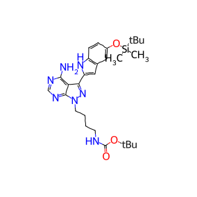 CC(C)(C)OC(=O)NCCCCn1nc(-c2cc3cc(O[Si](C)(C)C(C)(C)C)ccc3[nH]2)c2c(N)ncnc21